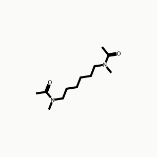 CC(=O)N(C)CCCCCCN(C)C(C)=O